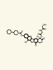 CCc1c2c(nc3ccc(OC(=O)N4CCC(N5CCCCC5)CC4)cc13)-c1cc3c(c(=O)n1C2)COC(=O)[C@@]3(CC)OC(=O)CNC(=O)CO